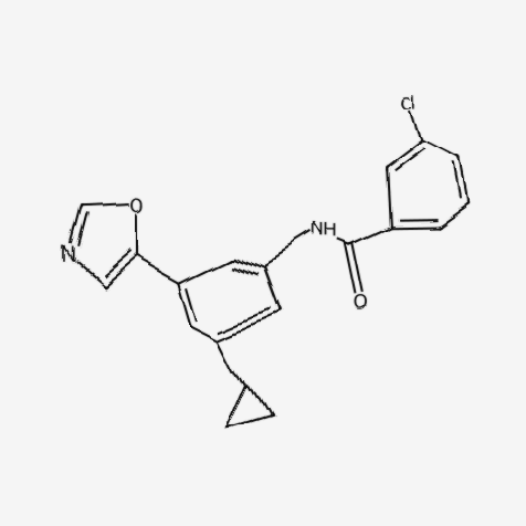 O=C(Nc1cc(-c2cnco2)cc(C2CC2)c1)c1cccc(Cl)c1